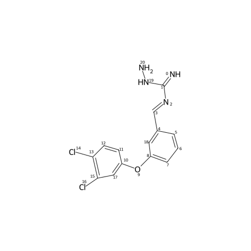 N=C(N=Cc1cccc(Oc2ccc(Cl)c(Cl)c2)c1)NN